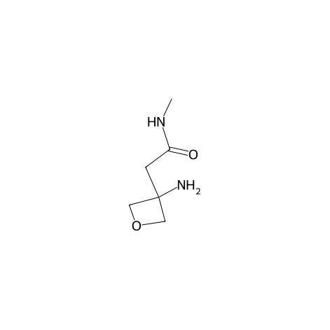 CNC(=O)CC1(N)COC1